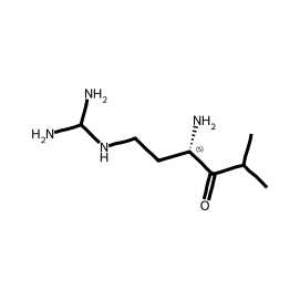 CC(C)C(=O)[C@@H](N)CCNC(N)N